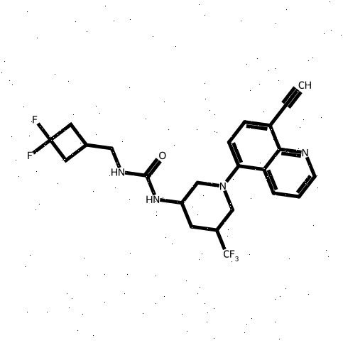 C#Cc1ccc(N2CC(NC(=O)NCC3CC(F)(F)C3)CC(C(F)(F)F)C2)c2cccnc12